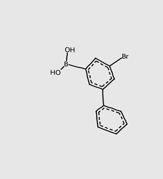 OB(O)c1cc(Br)cc(-c2ccccc2)c1